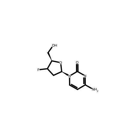 Nc1ccn([C@H]2CC(F)[C@@H]([CH]O)O2)c(=O)n1